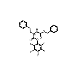 O=C(N[C@H](CCc1ccccc1)C(=O)Oc1c(F)c(F)c(F)c(F)c1F)OCc1ccccc1